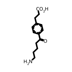 NCCCCC(=O)c1ccc(CCC(=O)O)cc1